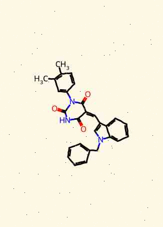 Cc1ccc(N2C(=O)NC(=O)C(=Cc3cn(Cc4ccccc4)c4ccccc34)C2=O)cc1C